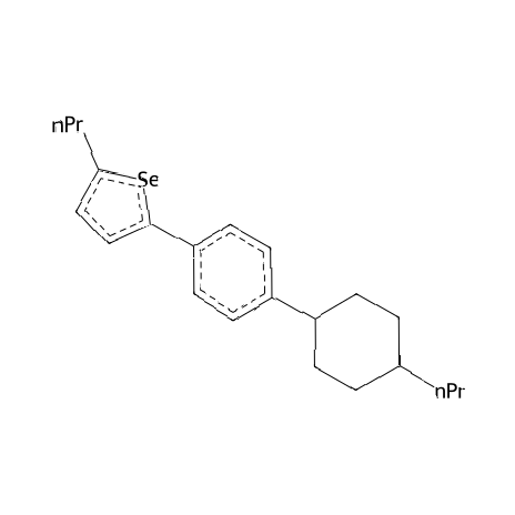 CCCc1ccc(-c2ccc(C3CCC(CCC)CC3)cc2)[se]1